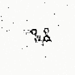 Cc1cc(Nc2ncn(-c3cccc(C(F)(F)F)c3)n2)cc(N2CCCC2)c1